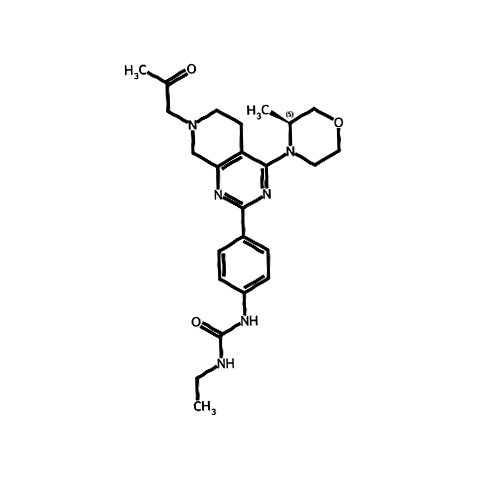 CCNC(=O)Nc1ccc(-c2nc3c(c(N4CCOC[C@@H]4C)n2)CCN(CC(C)=O)C3)cc1